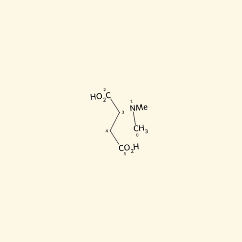 CNC.O=C(O)CCC(=O)O